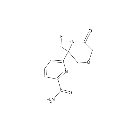 NC(=O)c1cccc(C2(CF)COCC(=O)N2)n1